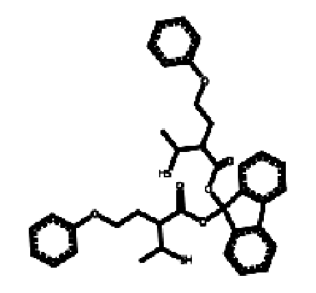 CC(S)C(CCOc1ccccc1)C(=O)OC1(OC(=O)C(CCOc2ccccc2)C(C)S)c2ccccc2-c2ccccc21